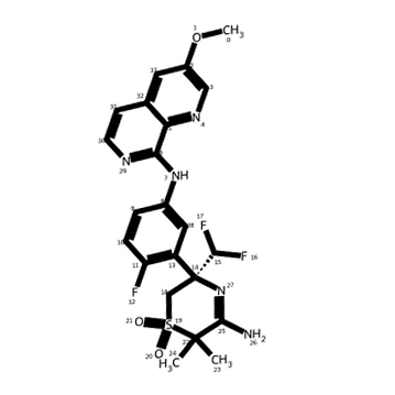 COc1cnc2c(Nc3ccc(F)c([C@]4(C(F)F)CS(=O)(=O)C(C)(C)C(N)=N4)c3)nccc2c1